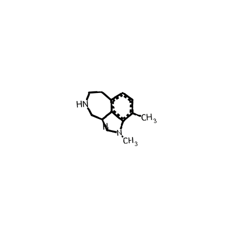 Cc1ccc2c3c1N(C)C[C@@H]3CNCC2